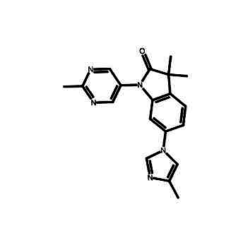 Cc1cn(-c2ccc3c(c2)N(c2cnc(C)nc2)C(=O)C3(C)C)cn1